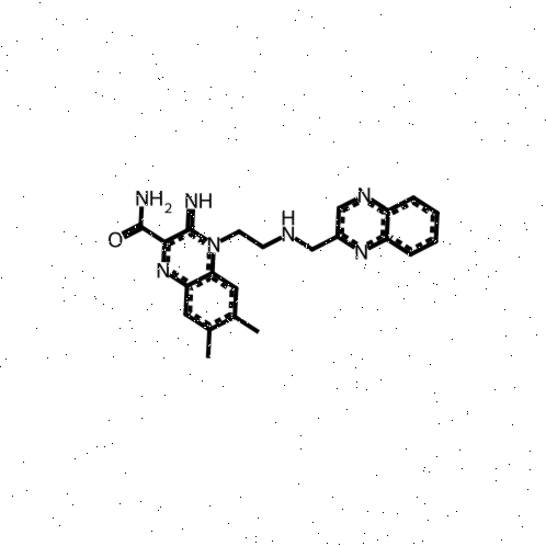 Cc1cc2nc(C(N)=O)c(=N)n(CCNCc3cnc4ccccc4n3)c2cc1C